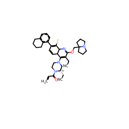 C=CC(=O)N1CCN(C2=C(CC#N)C(OCC34CCCN3CCC4)=NC3C(F)=C(c4cccc5c4CCCC5)C=CC23)C[C@@H]1CC#N